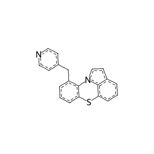 c1cc(Cc2ccncc2)c2c(c1)Sc1cccc3ccn-2c13